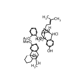 CC(=O)Oc1ccccc1C(=O)O.CC(C)=CCN1CC[C@@]2(C)c3cc(O)ccc3C[C@@H]1[C@@H]2C.COc1ccc2c(c1)[C@]13CCCC[C@@H]1[C@H](C2)N(C)CC3.Cl